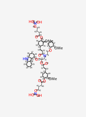 COc1ccccc1OCCN(CC(COc1cccc2[nH]c3ccccc3c12)OC(=O)/C=C/c1ccc(OC(=O)CCCON(O)O)c(OC)c1)C(=O)/C=C/c1ccc(OC(=O)CCCON(O)O)c(OC)c1